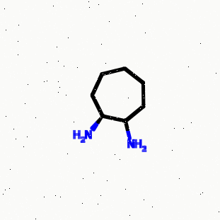 NC1CCCCC[C@@H]1N